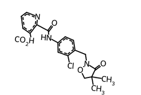 CC1(C)CON(Cc2ccc(NC(=O)c3ncccc3C(=O)O)cc2Cl)C1=O